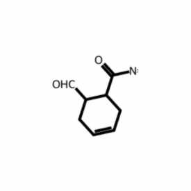 [N]C(=O)C1CC=CCC1C=O